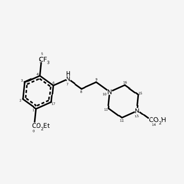 CCOC(=O)c1ccc(C(F)(F)F)c(NCCN2CCN(C(=O)O)CC2)c1